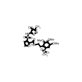 COc1cc(S(C)(=O)=O)c(CCNC(=O)c2sccc2S(=O)(=O)Nc2onc(C)c2Cl)c(OC)c1OC